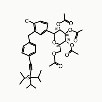 CC(=O)OC[C@H]1OC(c2ccc(Cl)c(Cc3ccc(C#C[Si](C(C)C)(C(C)C)C(C)C)cc3)c2)[C@H](OC(C)=O)[C@@H](OC(C)=O)[C@@H]1OC(C)=O